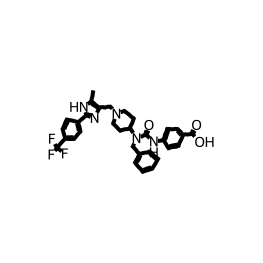 Cc1[nH]c(-c2ccc(C(F)(F)F)cc2)nc1CN1CCC(N(Cc2ccccc2)C(=O)Nc2ccc(C(=O)O)cc2)CC1